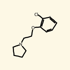 Clc1[c]cccc1OCCN1CCCC1